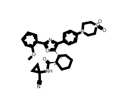 COc1ccccc1-c1nc(-c2ccc(N3CCS(=O)(=O)CC3)cc2)c([C@@H]2CCCC[C@H]2C(=O)NC2(C#N)CC2)o1